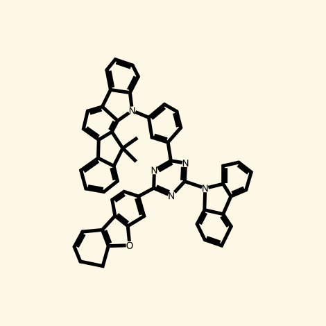 CC1(C)c2ccccc2-c2ccc3c4ccccc4n(-c4cccc(-c5nc(-c6ccc7c8c(oc7c6)CCC=C8)nc(-n6c7ccccc7c7ccccc76)n5)c4)c3c21